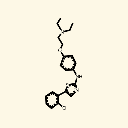 CCN(CC)CCOc1ccc(Nc2ncc(-c3ccccc3Cl)s2)cc1